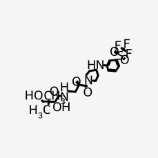 CC(C)(CO)C(O)C(=O)NCCC(=O)C(=O)N1CCC(Nc2cccc(S(=O)(=O)C(F)(F)F)c2)CC1